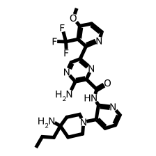 CCCC1(N)CCN(c2cccnc2NC(=O)c2nc(-c3nccc(OC)c3C(F)(F)F)cnc2N)CC1